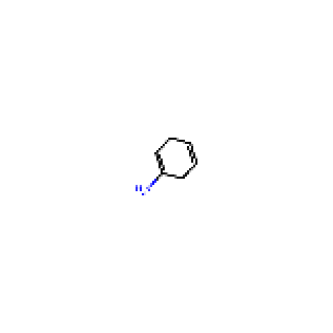 NC1=CCC=CC1